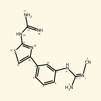 N#C/N=C(/N)Nc1cccc(-c2csc(NC(=N)N)n2)c1